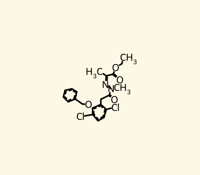 CCOC(=O)C(C)=NN(C)C(=O)Cc1c(Cl)ccc(Cl)c1OCc1ccccc1